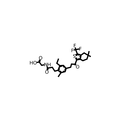 CCc1cc(CCC(=O)c2sc(C(F)(F)F)c3c2CCC(C)(C)C3)cc(C)c1CCC(=O)NCC(=O)O